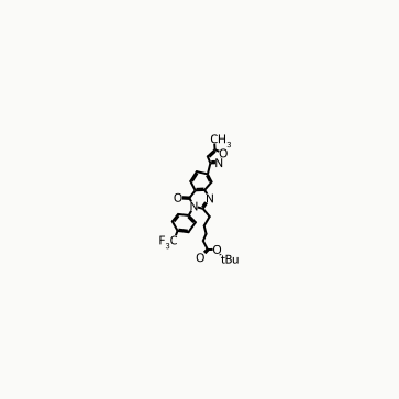 Cc1cc(-c2ccc3c(=O)n(-c4ccc(C(F)(F)F)cc4)c(CCCCC(=O)OC(C)(C)C)nc3c2)no1